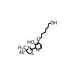 CC(=O)[C@@]1(C)CSC(c2nccc(OCCCCCCO)c2O)=N1